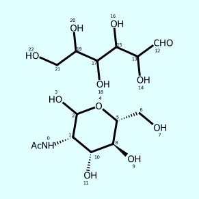 CC(=O)N[C@@H]1C(O)O[C@H](CO)[C@@H](O)[C@@H]1O.O=CC(O)C(O)C(O)C(O)CO